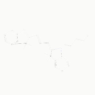 CC(C)CCCCN1/C(=C/C=C/C2=[N+](C)c3ccccc3C2(C)C)C(C)(C)c2ccccc21